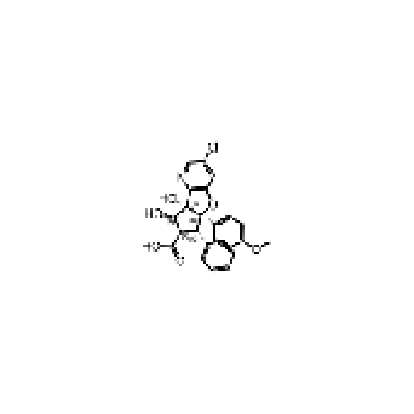 COc1ccc([C@@]23Oc4cc(Cl)cnc4[C@]2(O)[C@H](O)[C@H](C(=O)O)[C@H]3c2ccccc2)cc1